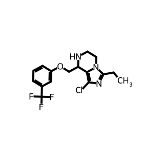 CCc1nc(Cl)c2n1CCNC2COc1cccc(C(F)(F)F)c1